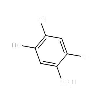 Cc1cc(Cl)c(C(=O)O)cc1O